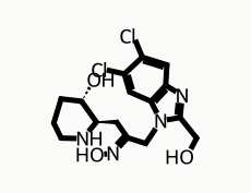 OCc1nc2cc(Cl)c(Cl)cc2n1C/C(C[C@H]1NCCC[C@@H]1O)=N/O